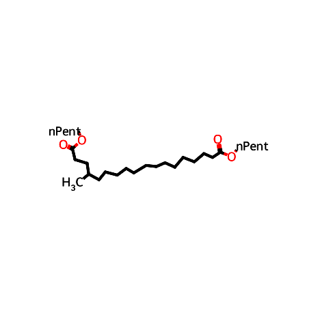 CCCCCOC(=O)CCCCCCCCCCCCCC(C)CCC(=O)OCCCCC